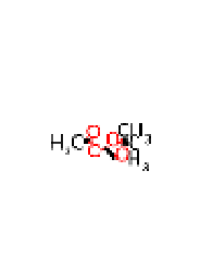 CC(=O)OC1COC(C)(C)O1